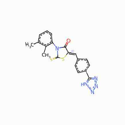 Cc1cccc(N2C(=O)/C(=C/c3ccc(-c4nnn[nH]4)cc3)SC2=S)c1C